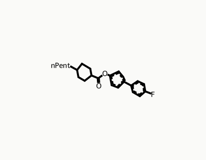 CCCCCC1CCC(C(=O)Oc2ccc(-c3ccc(F)cc3)cc2)CC1